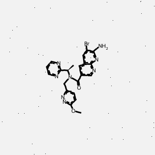 COc1ccc(CN(C(=O)c2cnc3nc(N)c(Br)cc3c2)[C@H](C)c2ncccn2)nn1